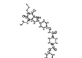 CCCn1c(=O)c2[nH]c(-c3ccc(OCC(=O)N4CCN(C(=O)Oc5ccccc5)CC4)cc3)cc2n(CCC)c1=O